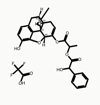 CC(OC(=O)C(O)c1ccccc1)C(=O)OC1=CC[C@@]2(O)[C@H]3Cc4ccc(O)c5c4[C@@]2(CCN3C)[C@H]1O5.O=C(O)C(F)(F)F